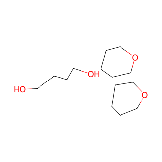 C1CCOCC1.C1CCOCC1.OCCCCO